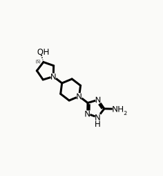 Nc1nc(N2CCC(N3CC[C@H](O)C3)CC2)n[nH]1